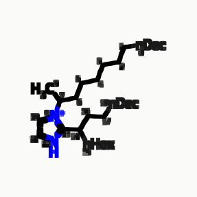 CCCCCCCCCCCCCCCCC(C)[n+]1cc[nH]c1C(CCCCCC)CCCCCCCCCCCC